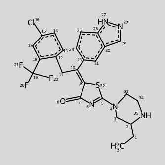 CCC1CN(C2=NC(=O)C(=C(Cc3ccc(Cl)cc3C(F)(F)F)c3ccc4[nH]ncc4c3)S2)CCN1